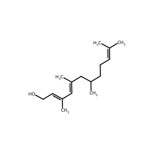 CC(C)=CCCC(C)CC(C)=CC(C)=CCO